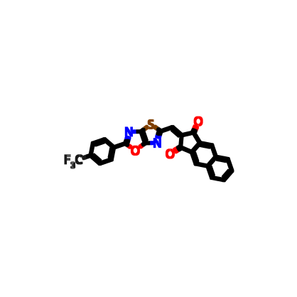 O=C1C(=Cc2nc3oc(-c4ccc(C(F)(F)F)cc4)nc3s2)C(=O)c2cc3ccccc3cc21